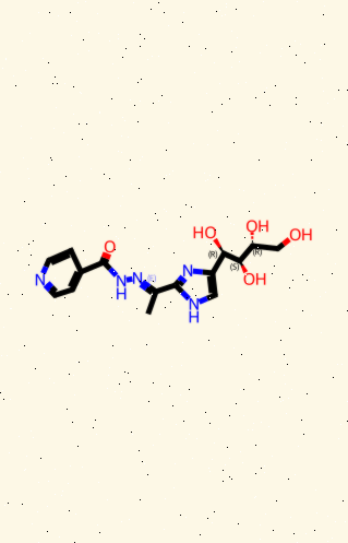 C/C(=N\NC(=O)c1ccncc1)c1nc([C@@H](O)[C@H](O)[C@H](O)CO)c[nH]1